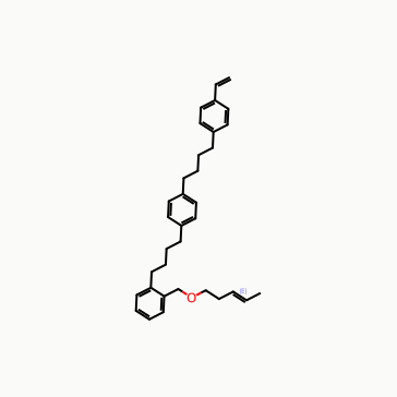 C=Cc1ccc(CCCCc2ccc(CCCCc3ccccc3COCC/C=C/C)cc2)cc1